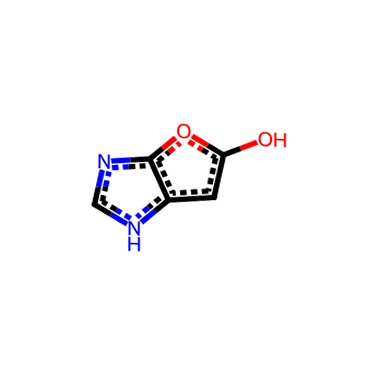 Oc1cc2[nH]cnc2o1